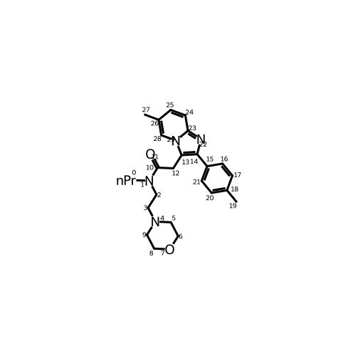 CCCN(CCN1CCOCC1)C(=O)Cc1c(-c2ccc(C)cc2)nc2ccc(C)cn12